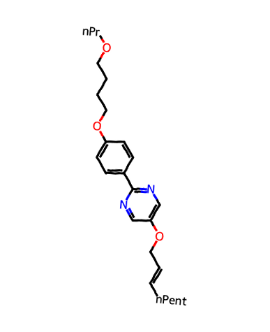 CCCCCC=CCOc1cnc(-c2ccc(OCCCCOCCC)cc2)nc1